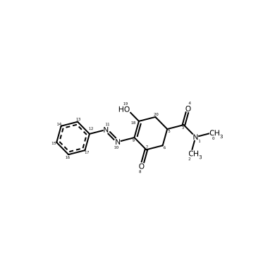 CN(C)C(=O)C1CC(=O)C(/N=N/c2ccccc2)=C(O)C1